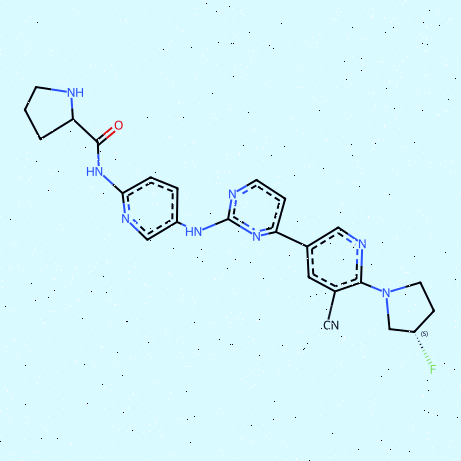 N#Cc1cc(-c2ccnc(Nc3ccc(NC(=O)C4CCCN4)nc3)n2)cnc1N1CC[C@H](F)C1